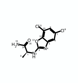 C[C@H](Nc1nc2cc(Cl)cc(Cl)c2o1)C(N)=O